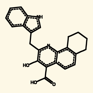 O=C(O)c1c(O)c(Cc2c[nH]c3ccccc23)nc2c3c(ccc12)CCCC3